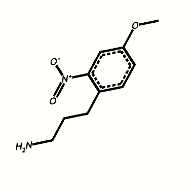 COc1ccc(CCCN)c([N+](=O)[O-])c1